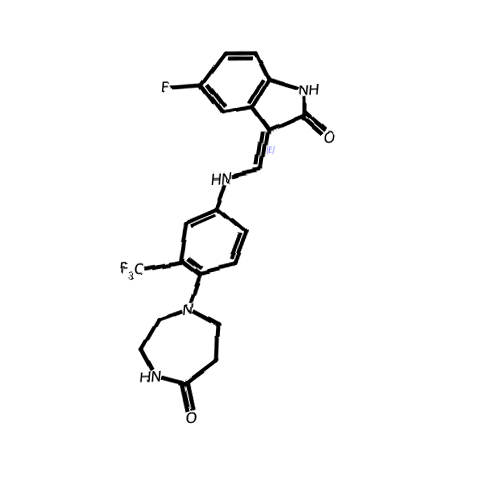 O=C1CCN(c2ccc(N/C=C3/C(=O)Nc4ccc(F)cc43)cc2C(F)(F)F)CCN1